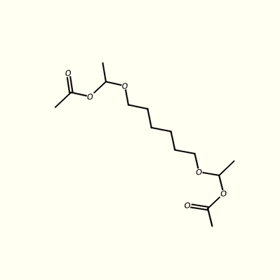 CC(=O)OC(C)OCCCCCCOC(C)OC(C)=O